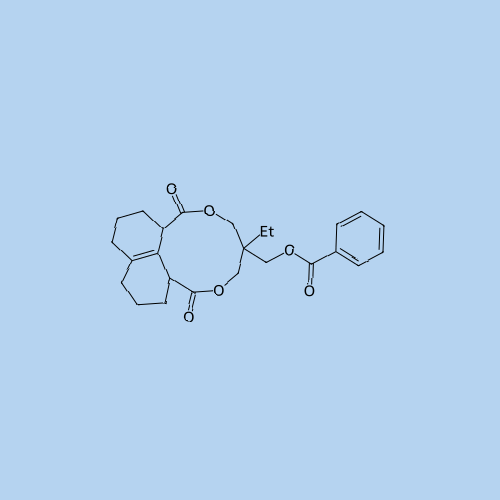 CCC1(COC(=O)c2ccccc2)COC(=O)C2CCCC3=C2C(CCC3)C(=O)OC1